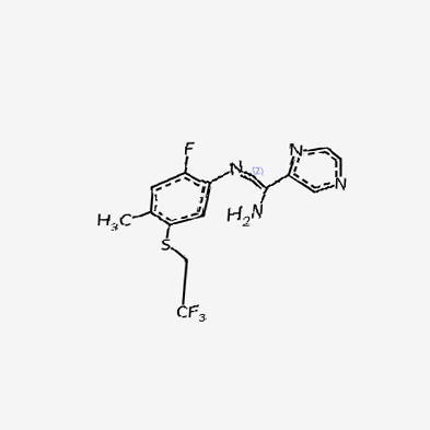 Cc1cc(F)c(/N=C(\N)c2cnccn2)cc1SCC(F)(F)F